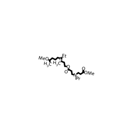 CCN(CCCC(C)OC)C(C)CCOC(=O)CCN(CCC(=O)OC)C(C)C